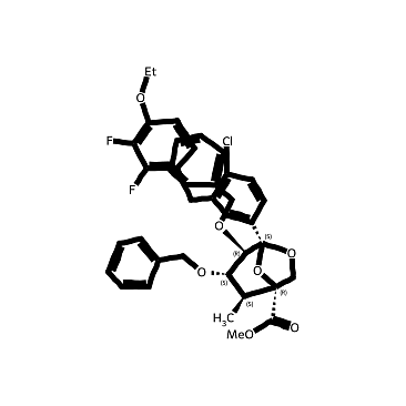 CCOc1ccc(Cc2cc([C@]34OC[C@](C(=O)OC)(O3)[C@@H](C)[C@H](OCc3ccccc3)[C@H]4OCc3ccccc3)ccc2Cl)c(F)c1F